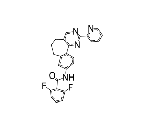 O=C(Nc1ccc2c(c1)CCCc1cnc(-c3ccccn3)nc1-2)c1c(F)cccc1F